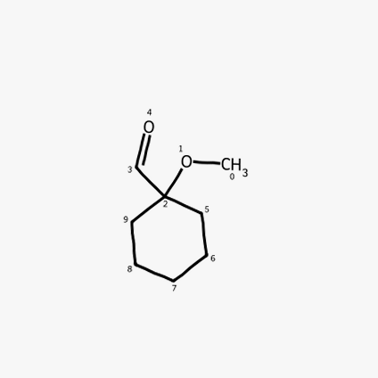 COC1(C=O)CCCCC1